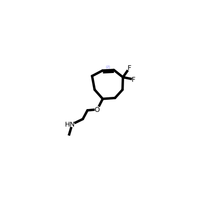 CNCCOC1CC/C=C\C(F)(F)CC1